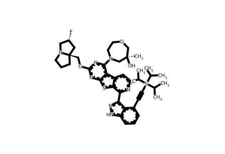 CC(C)[Si](C#Cc1cccc2[nH]nc(-c3nccc4c3sc3nc(OC[C@@]56CCCN5C[C@H](F)C6)nc(N5CCOC[C@@](C)(O)C5)c34)c12)(C(C)C)C(C)C